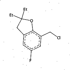 CCC1(CC)Cc2cc(F)cc(CCl)c2O1